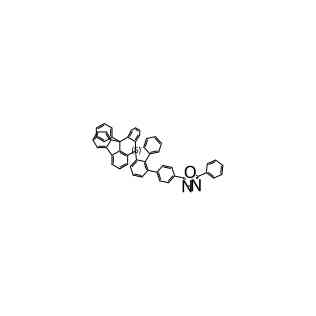 c1ccc(-c2nnc(-c3ccc(-c4cccc5c4-c4ccccc4[C@]54c5ccccc5C5(c6ccccc6)c6ccccc6-c6cccc4c65)cc3)o2)cc1